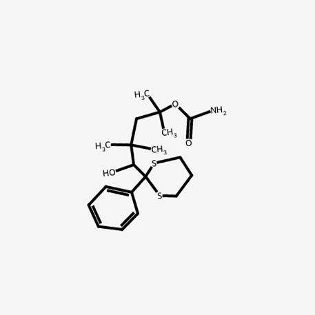 CC(C)(CC(C)(C)C(O)C1(c2ccccc2)SCCCS1)OC(N)=O